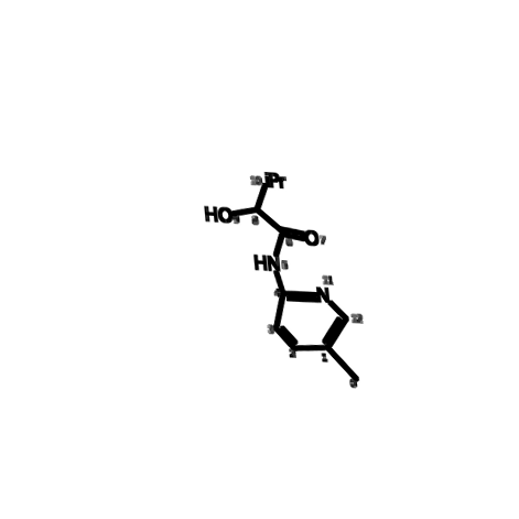 Cc1ccc(NC(=O)C(O)C(C)C)nc1